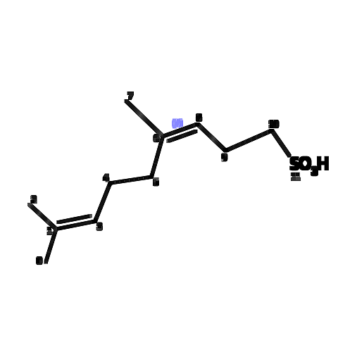 CC(C)=CCC/C(C)=C\CCS(=O)(=O)O